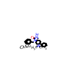 COc1ccccc1CN1C(=O)NC[C@]12CC[C@](c1ccccc1)(N(C)C)CC2